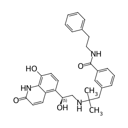 CC(C)(Cc1cccc(C(=O)NCCc2ccccc2)c1)NC[C@@H](O)c1ccc(O)c2[nH]c(=O)ccc12